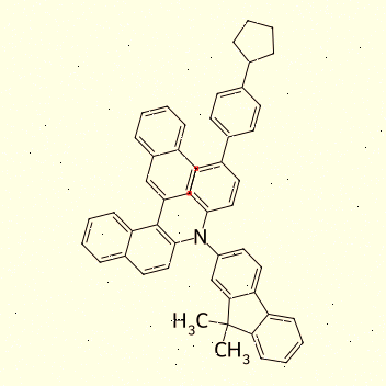 CC1(C)c2ccccc2-c2ccc(N(c3ccc(-c4ccc(C5CCCC5)cc4)cc3)c3ccc4ccccc4c3-c3ccc4ccccc4c3)cc21